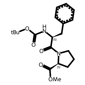 COC(=O)[C@@H]1CCCN1C(=O)[C@H](Cc1ccccc1)NC(=O)OC(C)(C)C